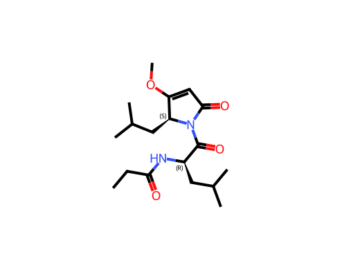 CCC(=O)N[C@H](CC(C)C)C(=O)N1C(=O)C=C(OC)[C@@H]1CC(C)C